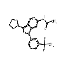 CC(=O)Nc1cc2c(cn1)c(N1CCCC1)nn2-c1cccc(C(C)(F)F)n1